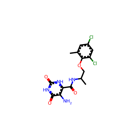 Cc1cc(Cl)cc(Cl)c1OCC(C)NC(=O)c1[nH]c(=O)[nH]c(=O)c1N